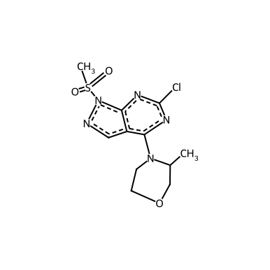 CC1COCCN1c1nc(Cl)nc2c1cnn2S(C)(=O)=O